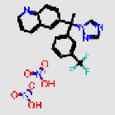 CC(c1cccc(C(F)(F)F)c1)(c1ccc2ncccc2c1)n1cncn1.O=[N+]([O-])O.O=[N+]([O-])O